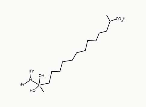 CC(CCCCCCCCCCCP(C)(O)(O)N(C(C)C)C(C)C)C(=O)O